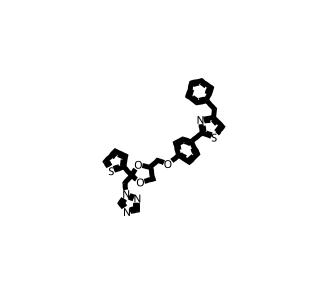 c1ccc(Cc2csc(-c3ccc(OCC4COC(Cn5cncn5)(c5cccs5)O4)cc3)n2)cc1